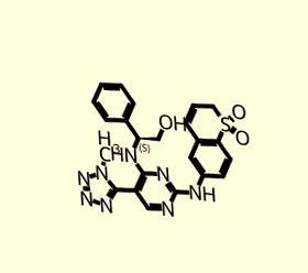 Cn1nnnc1-c1cnc(Nc2ccc3c(c2)C=CCS3(=O)=O)nc1N[C@H](CO)c1ccccc1